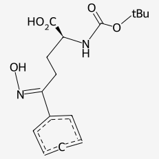 CC(C)(C)OC(=O)N[C@@H](CCC(=NO)c1ccccc1)C(=O)O